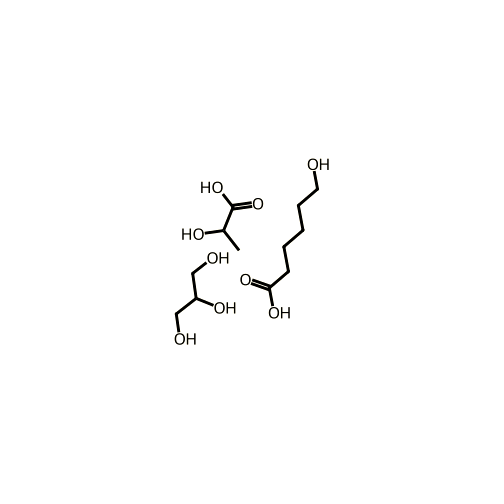 CC(O)C(=O)O.O=C(O)CCCCCO.OCC(O)CO